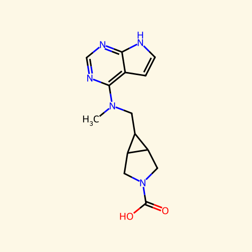 CN(CC1C2CN(C(=O)O)CC21)c1ncnc2[nH]ccc12